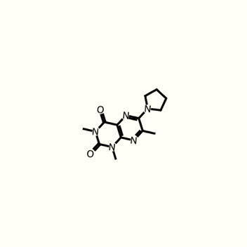 Cc1nc2c(nc1N1CCCC1)c(=O)n(C)c(=O)n2C